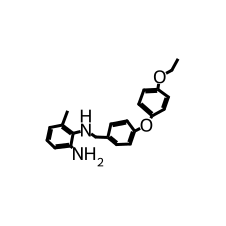 CCOc1ccc(Oc2ccc(CNc3c(C)cccc3N)cc2)cc1